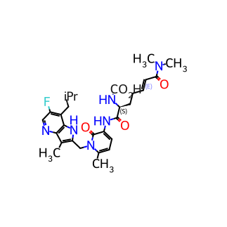 Cc1c(Cn2c(C)ccc(NC(=O)[C@H](CC/C=C/C(=O)N(C)C)NC(=O)O)c2=O)[nH]c2c(CC(C)C)c(F)cnc12